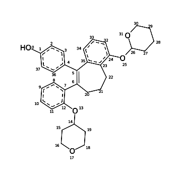 Oc1ccc(C2=C(c3ccccc3OC3CCOCC3)CCCc3c(OC4CCCCO4)cccc32)cc1